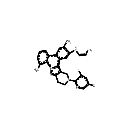 C/C=C\Nc1cc2c(cc1C)c1cccc(C)c1n1nc3c(c21)CN(c1ncc(Cl)cc1F)CC3